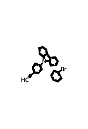 Brc1ccccc1.C#Cc1ccc(-n2c3ccccc3c3ccccc32)cc1